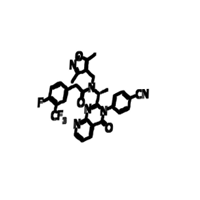 Cc1noc(C)c1CN(C(=O)Cc1ccc(F)c(C(F)(F)F)c1)[C@@H](C)c1nc2ncccc2c(=O)n1-c1ccc(C#N)cc1